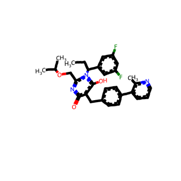 CCC(c1cc(F)cc(F)c1)n1c(COC(C)C)nc(=O)c(Cc2ccc(-c3cccnc3C)cc2)c1O